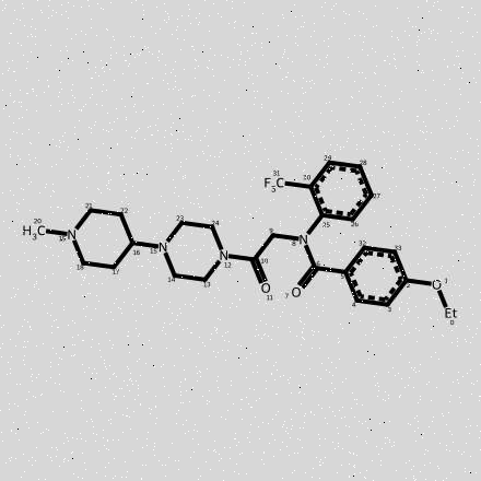 CCOc1ccc(C(=O)N(CC(=O)N2CCN(C3CCN(C)CC3)CC2)c2ccccc2C(F)(F)F)cc1